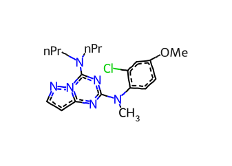 CCCN(CCC)c1nc(N(C)c2ccc(OC)cc2Cl)nc2ccnn12